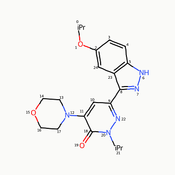 CC(C)Oc1ccc2[nH]nc(-c3cc(N4CCOCC4)c(=O)n(C(C)C)n3)c2c1